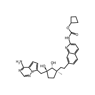 C[C@]1(CCc2ccc3ccc(NC(=O)OC4CCC4)nc3c2)CC[C@](O)(Cc2ccc3c(N)ncnn23)[C@@H]1O